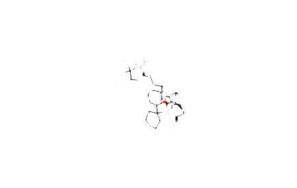 CC(OC(=O)CCC(=O)OC1C2OC(=O)C3C2OC1C3C(=O)OC1(C2CCCCC2)CCCCC1)C(F)(F)S(=O)(=O)O